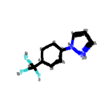 FC(F)(F)C1CCC(n2cccn2)CC1